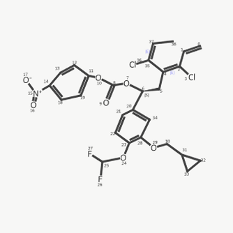 C=C/C(Cl)=C(C[C@H](OC(=O)Oc1ccc([N+](=O)[O-])cc1)c1ccc(OC(F)F)c(OCC2CC2)c1)\C(Cl)=C/C